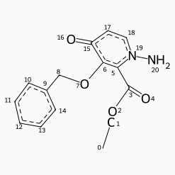 CCOC(=O)c1c(OCc2ccccc2)c(=O)ccn1N